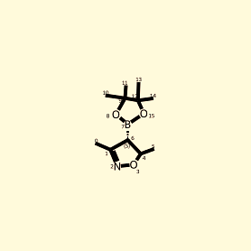 CC1=NOC(C)[C@H]1B1OC(C)(C)C(C)(C)O1